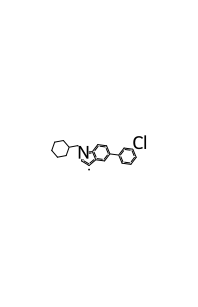 Clc1cccc(-c2ccc3c([c]cn3CC3CCCCC3)c2)c1